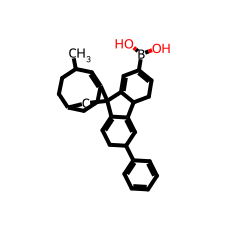 CC1/C=C2\CCC(CC1)CC21C2=CCC(c3ccccc3)C=C2C2CC=C(B(O)O)C=C21